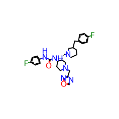 O=C(Nc1ccc(F)cc1)N[C@@H]1CCN(Cc2ncon2)C[C@H]1CN1CCCC(Cc2ccc(F)cc2)C1